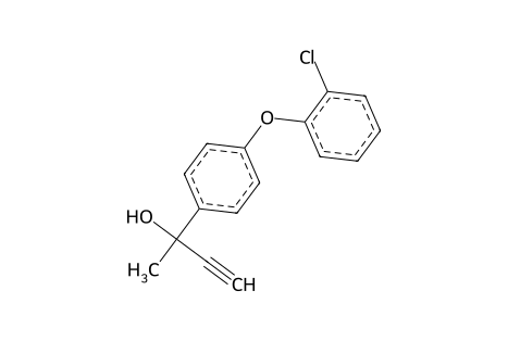 C#CC(C)(O)c1ccc(Oc2ccccc2Cl)cc1